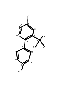 Cc1cc(C(C)(C)C)c(-c2ccc(F)cc2)nn1